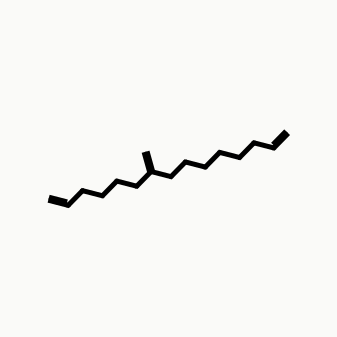 C=CCCCCCCC(=C)CCCCC=C